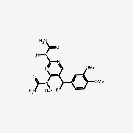 COc1ccc(C(Br)c2cnc(N(N)C(N)=O)nc2N(N)C(N)=O)cc1OC